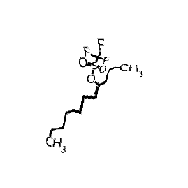 CCCCCCC=C(CCC)OS(=O)(=O)C(F)(F)F